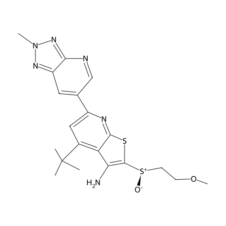 COCC[S@@+]([O-])c1sc2nc(-c3cnc4nn(C)nc4c3)cc(C(C)(C)C)c2c1N